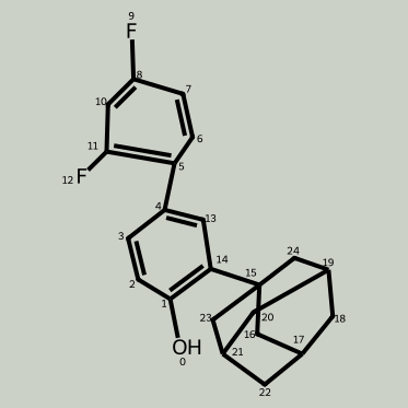 Oc1ccc(-c2ccc(F)cc2F)cc1C12CC3CC(CC(C3)C1)C2